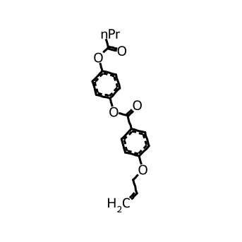 C=CCOc1ccc(C(=O)Oc2ccc(OC(=O)CCC)cc2)cc1